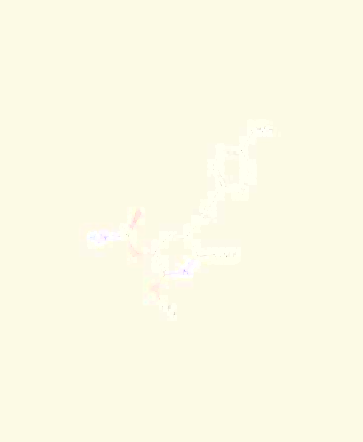 COc1ccc(C#Cc2cc(OC(N)=O)c(OC(F)(F)F)nc2OC)cc1